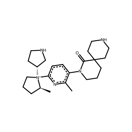 Cc1nc([N+]2([C@@H]3CCNC3)CCC[C@@H]2C)ccc1N1CCCC2(CCNCC2)C1=O